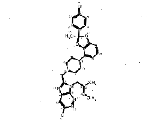 CO[C@H](C)Cn1c(CN2CCC(c3cccc4c3O[C@@](C)(c3ccc(Cl)cn3)O4)CC2)nc2cc(Cl)nnc21